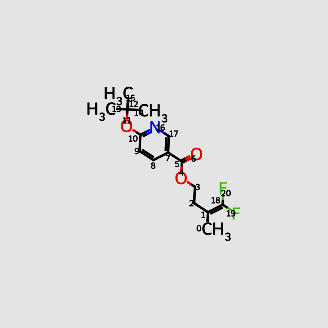 CC(CCOC(=O)c1ccc(OC(C)(C)C)nc1)=C(F)F